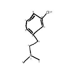 CN(C)CCc1cccc(Cl)c1